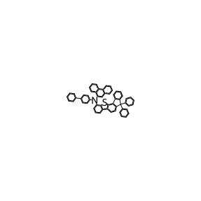 c1ccc(-c2ccc(N(c3cc4ccccc4c4ccccc34)c3cccc4c3sc3c5c(ccc34)C(c3ccccc3)(c3ccccc3)c3ccccc3-5)cc2)cc1